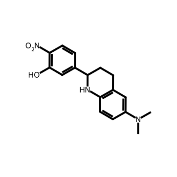 CN(C)c1ccc2c(c1)CCC(c1ccc([N+](=O)[O-])c(O)c1)N2